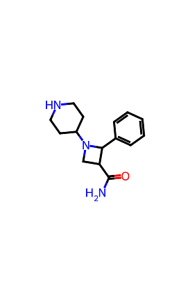 NC(=O)C1CN(C2CCNCC2)C1c1ccccc1